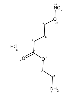 Cl.NCCOC(=O)CCCO[N+](=O)[O-]